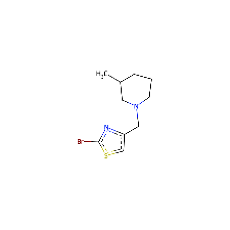 CC1CCCN(Cc2csc(Br)n2)C1